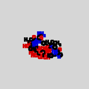 CC(NC(=O)C(NC(=O)[C@H](O)[C@H](O)[C@@H](O[C@@H]1O[C@H](CO)[C@H](O)[C@H](O)[C@H]1O)[C@H](O)CO)C(C)O)C(=O)NC(CC(N)=O)C(=O)Nc1ccc(COC(=O)N2CC(C)(C)c3ccc(NC(=O)c4cccnc4NCc4ccncc4)cc32)cc1